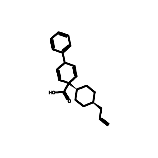 C=CC[C@H]1CC[C@H](C2(C(=O)O)C=CC(c3ccccc3)C=C2)CC1